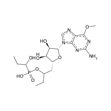 CCC(C[C@H]1O[C@@H](n2cnc3c(OC)nc(N)nc32)[C@H](O)[C@@H]1O)OP(=O)(O)C(O)CC